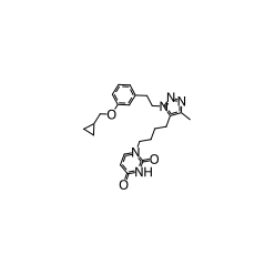 Cc1nnn(CCc2cccc(OCC3CC3)c2)c1CCCCn1ccc(=O)[nH]c1=O